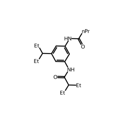 CCCC(=O)Nc1cc(NC(=O)C(CC)CC)cc(C(CC)CC)c1